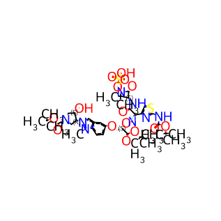 C[n+]1c2ccc(OC[C@H](O/N=C(\C(=O)N[C@@H]3C(=O)N(OS(=O)(=O)O)C3(C)C)c3csc(NC(=O)OC(C)(C)C)n3)C(=O)OC(C)(C)C)cc2cn1[C@@H]1CN(C(=O)OC(C)(C)C)C[C@@H]1O